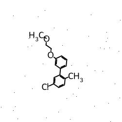 COCCOc1cccc(-c2cc(Cl)ccc2C)c1